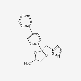 CC1COC(Cn2ccnc2)(c2ccc(-c3ccccc3)cc2)O1